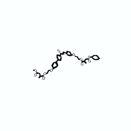 C=C(CC(=O)OC)C(=O)OCCOc1ccc(-c2ccc(C(=O)/C=C/c3ccc(OCCCOC(=O)C(=C)CC(=O)OC4CCCCC4)cc3)cc2)cc1